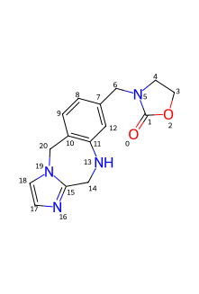 O=C1OCCN1Cc1ccc2c(c1)NCc1nccn1C2